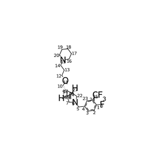 Fc1ccc(CN2C[C@@H]3[C@H](COCCCN4CCCCC4)[C@@H]3C2)cc1C(F)(F)F